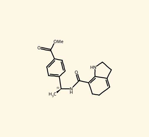 COC(=O)c1ccc([C@H](C)NC(=O)C2=C3NCCC3=CCC2)cc1